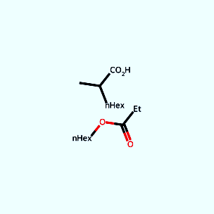 CCCCCCC(C)C(=O)O.CCCCCCOC(=O)CC